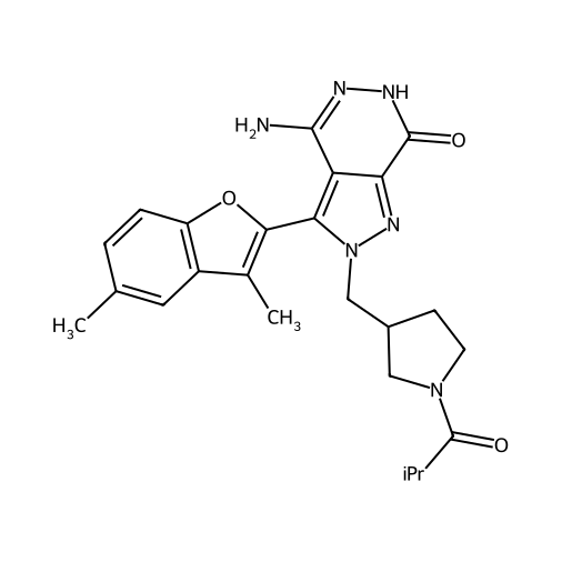 Cc1ccc2oc(-c3c4c(N)n[nH]c(=O)c4nn3CC3CCN(C(=O)C(C)C)C3)c(C)c2c1